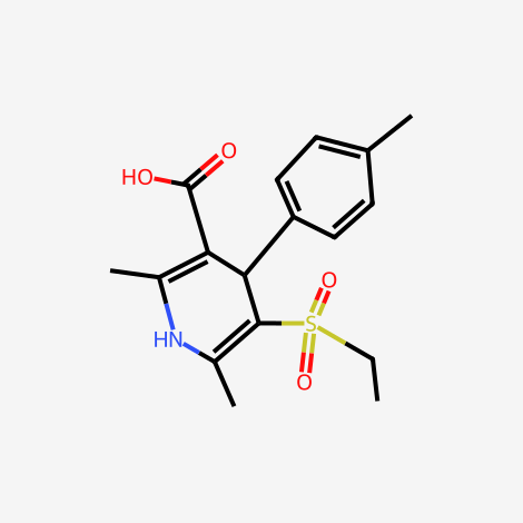 CCS(=O)(=O)C1=C(C)NC(C)=C(C(=O)O)C1c1ccc(C)cc1